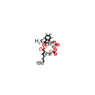 CC(C)(C)CCCCCC(=O)OOC(C)(C)c1ccccc1.CCCOC(=O)OOC(=O)OCCC